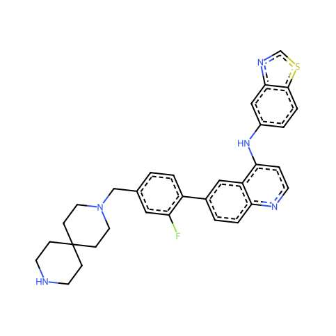 Fc1cc(CN2CCC3(CCNCC3)CC2)ccc1-c1ccc2nccc(Nc3ccc4scnc4c3)c2c1